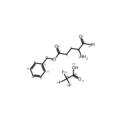 CC(C)C(=O)C(N)CCC(=O)OCc1ccccc1.O=C(O)C(F)(F)F